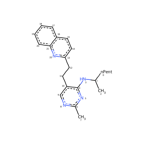 CCCCCC(C)Nc1nc(C)ncc1CCc1ccc2ccccc2n1